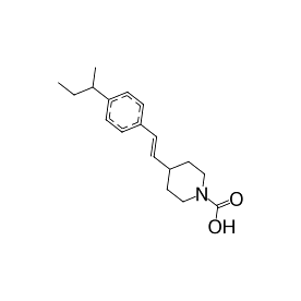 CCC(C)c1ccc(C=CC2CCN(C(=O)O)CC2)cc1